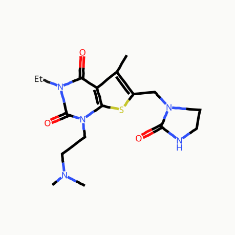 CCn1c(=O)c2c(C)c(CN3CCNC3=O)sc2n(CCN(C)C)c1=O